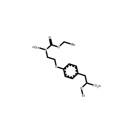 CCCCCCCCN(CCOc1ccc(CC(OCC)C(=O)O)cc1)C(=O)OCC(C)(C)C